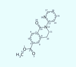 COC(=O)c1ccc2c(c1)CCN(c1ccccn1)C2=O